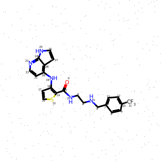 O=C(NCCNCc1ccc(C(F)(F)F)cc1)c1sccc1Nc1ccnc2[nH]ccc12